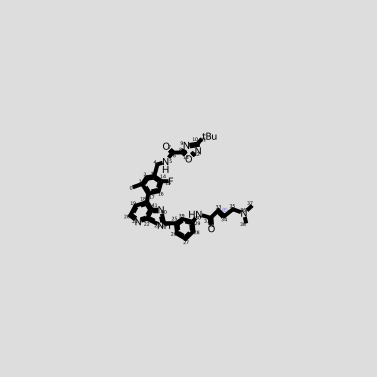 Cc1cc(CNC(=O)c2nc(C(C)(C)C)no2)c(F)cc1-c1ccnc2[nH]c(-c3cccc(NC(=O)/C=C/CN(C)C)c3)nc12